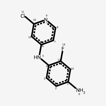 Nc1ccc(Nc2ccnc(Cl)c2)c(F)c1